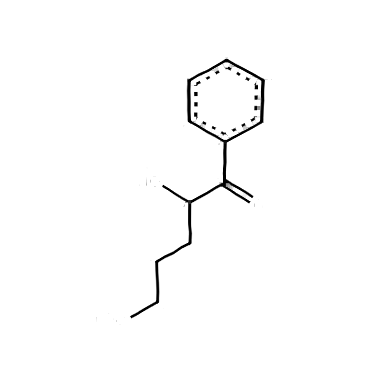 CCCCCCCCCCCC(O)C(=O)c1ccccc1